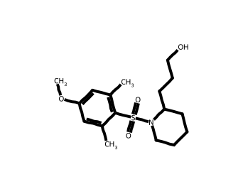 COc1cc(C)c(S(=O)(=O)N2CCCCC2CCCO)c(C)c1